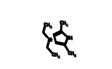 C[CH2][Al][CH2]C.Cc1ccc(C)[nH]1